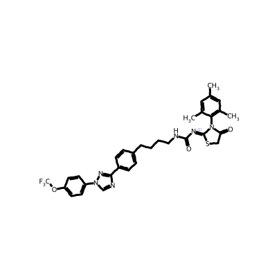 Cc1cc(C)c(N2C(=O)CS/C2=N\C(=O)NCCCCc2ccc(-c3ncn(-c4ccc(OC(F)(F)F)cc4)n3)cc2)c(C)c1